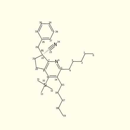 CCCCCc1nc2c(c([Si](C)(C)C)c1CCCCC)CC[C@@]2(C#N)Cc1ccccc1